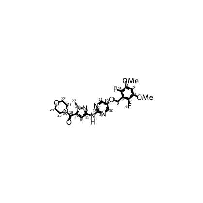 COc1cc(OC)c(F)c(COc2cnc(Nc3cc(C(=O)N4CCOCC4)n(C)n3)nc2)c1F